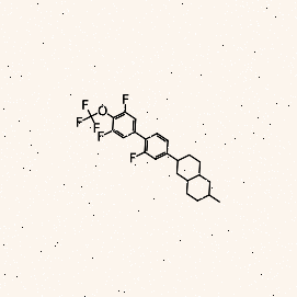 CC1CCC2CC(c3ccc(-c4cc(F)c(OC(F)(F)F)c(F)c4)c(F)c3)CCC2C1